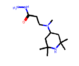 CN(CCC(=O)NN)C1CC(C)(C)NC(C)(C)C1